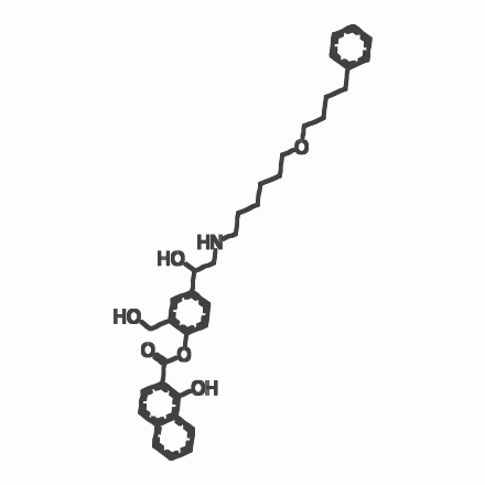 O=C(Oc1ccc(C(O)CNCCCCCCOCCCCc2ccccc2)cc1CO)c1ccc2ccccc2c1O